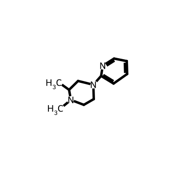 CC1CN(c2ccccn2)CCN1C